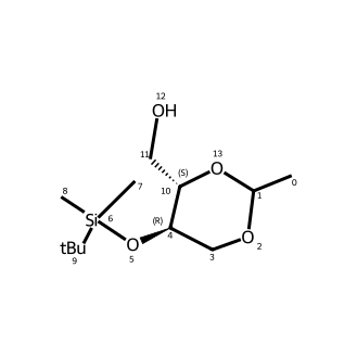 CC1OC[C@@H](O[Si](C)(C)C(C)(C)C)[C@H](CO)O1